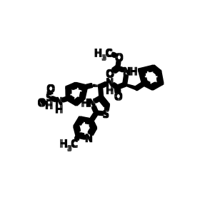 COC(=O)N[C@@H](Cc1ccccc1)C(=O)N[C@@H](Cc1ccc(N[SH](=O)=O)cc1)C1=CSC(c2ccc(C)nc2)N1